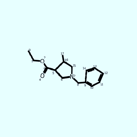 CCOC(=O)C1CN(Cc2ccccc2)CC1C